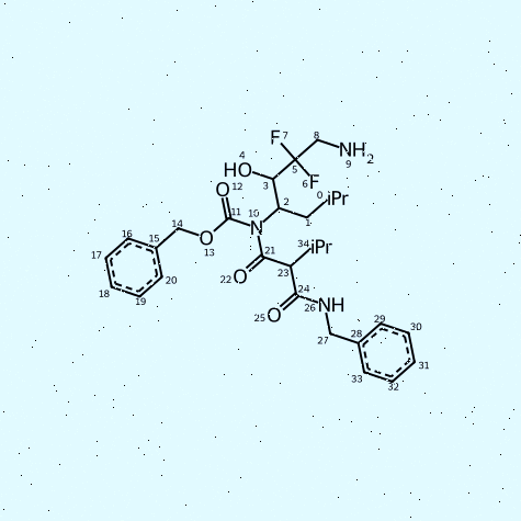 CC(C)CC(C(O)C(F)(F)CN)N(C(=O)OCc1ccccc1)C(=O)C(C(=O)NCc1ccccc1)C(C)C